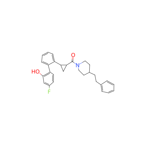 O=C(C1CC1c1ccccc1-c1ccc(F)cc1O)N1CCC(CCc2ccccc2)CC1